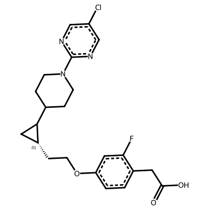 O=C(O)Cc1ccc(OCC[C@@H]2CC2C2CCN(c3ncc(Cl)cn3)CC2)cc1F